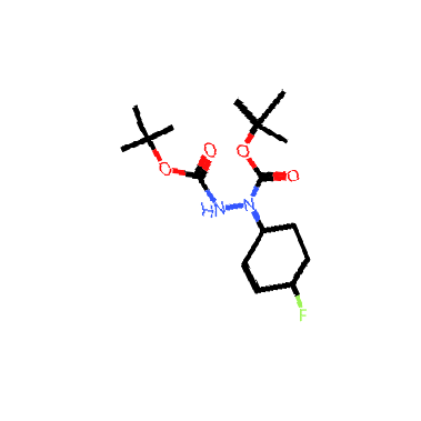 CC(C)(C)OC(=O)NN(C(=O)OC(C)(C)C)C1CCC(F)CC1